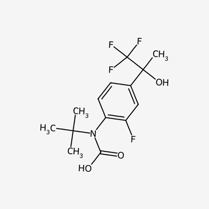 CC(C)(C)N(C(=O)O)c1ccc(C(C)(O)C(F)(F)F)cc1F